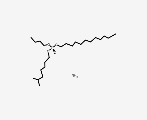 CCCCCCCCCCCCOP(=O)(OCCCC)OCCCCCC(C)C.N